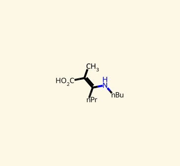 CCCCN/C(CCC)=C(\C)C(=O)O